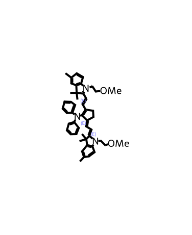 COCCN1/C(=C/C=C2\CCC(/C=C/C3=[N+](CCOC)c4ccc(C)cc4C3(C)C)=C2N(c2ccccc2)c2ccccc2)C(C)(C)c2cc(C)ccc21